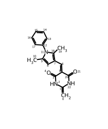 C=c1[nH]c(=O)c(=Cc2cc(C)n(-c3ccccc3)c2C)c(=O)[nH]1